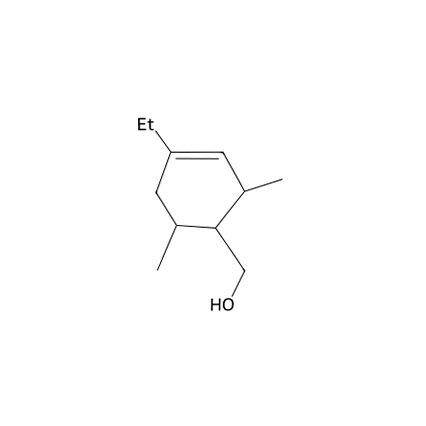 CCC1=CC(C)C(CO)C(C)C1